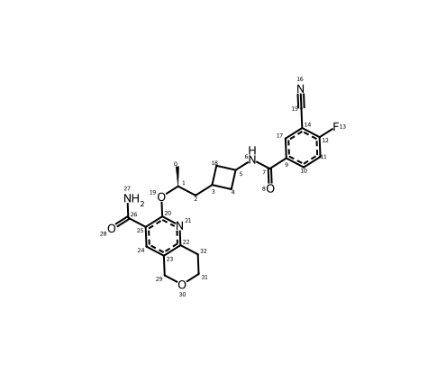 C[C@@H](CC1CC(NC(=O)c2ccc(F)c(C#N)c2)C1)Oc1nc2c(cc1C(N)=O)COCC2